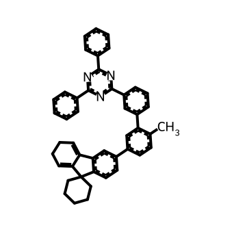 Cc1ccc(-c2ccc3c(c2)C2=CCCC=C2C32CCCCC2)cc1-c1cccc(-c2nc(-c3ccccc3)nc(-c3ccccc3)n2)c1